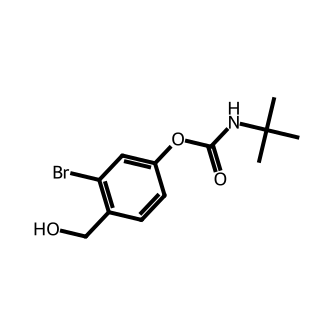 CC(C)(C)NC(=O)Oc1ccc(CO)c(Br)c1